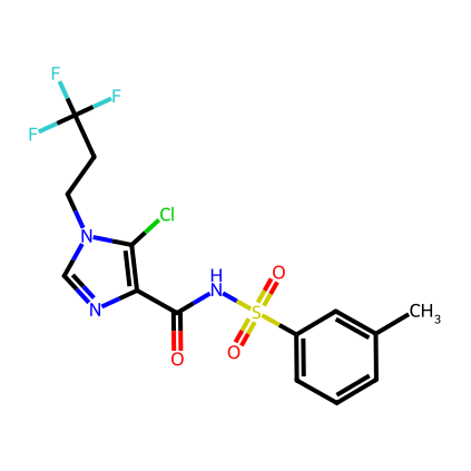 Cc1cccc(S(=O)(=O)NC(=O)c2ncn(CCC(F)(F)F)c2Cl)c1